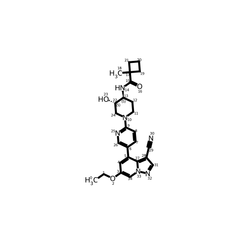 CCOc1cc(-c2ccc(N3CC[C@H](NC(=O)C4(C)CCC4)[C@@H](O)C3)nc2)c2c(C#N)cnn2c1